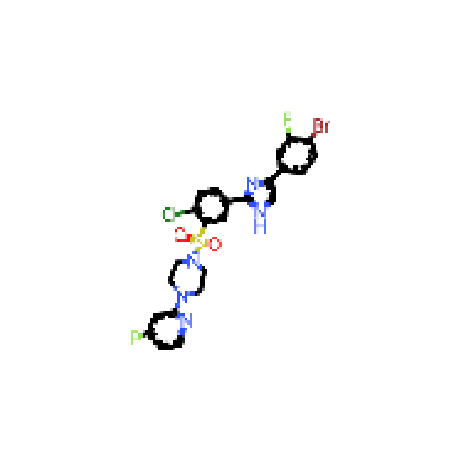 O=S(=O)(c1cc(-c2nc(-c3ccc(Br)c(F)c3)c[nH]2)ccc1Cl)N1CCN(c2cc(F)ccn2)CC1